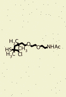 CC(=O)NCCOCCOCCC(C)(C)CC(C)(S)CCl